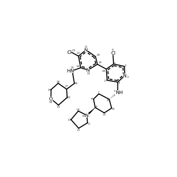 Clc1cnc(N[C@H]2CC[C@H](N3CCCC3)CC2)cc1-c1cnc(Cl)c(NCC2CCOCC2)n1